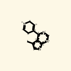 Cc1csc2ncnc(C3=CCN=CC3)c12